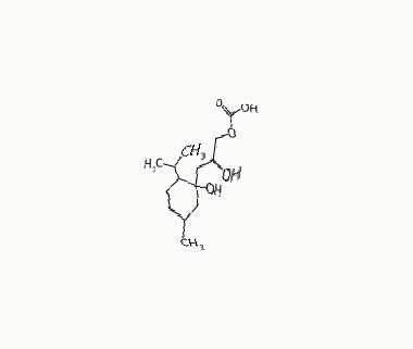 CC1CCC(C(C)C)C(O)(CC(O)COC(=O)O)C1